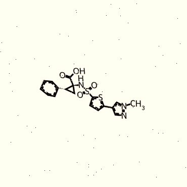 Cn1cc(-c2ccc(S(=O)(=O)N[C@@]3(C(=O)O)C[C@@H]3c3ccccc3)s2)cn1